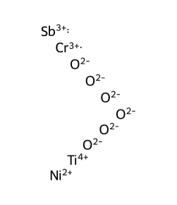 [Cr+3].[Ni+2].[O-2].[O-2].[O-2].[O-2].[O-2].[O-2].[Sb+3].[Ti+4]